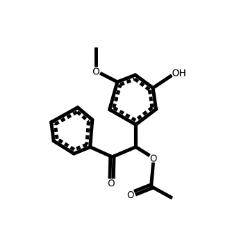 COc1cc(O)cc(C(OC(C)=O)C(=O)c2ccccc2)c1